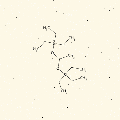 CC[Si](CC)(CC)OC([SiH3])O[Si](CC)(CC)CC